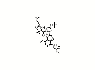 CC[C@H](C)C(NC(=O)[C@@H]1C[C@@H](OC(C)(C)C)CN1C(=O)C(NC(=O)OCC(C)C)C(C)(C)C)C(=O)C(=O)NCC(=O)OC